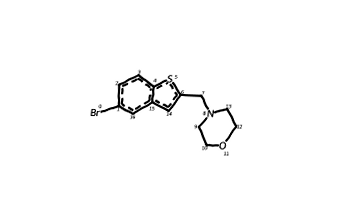 Brc1ccc2sc(CN3CCOCC3)cc2c1